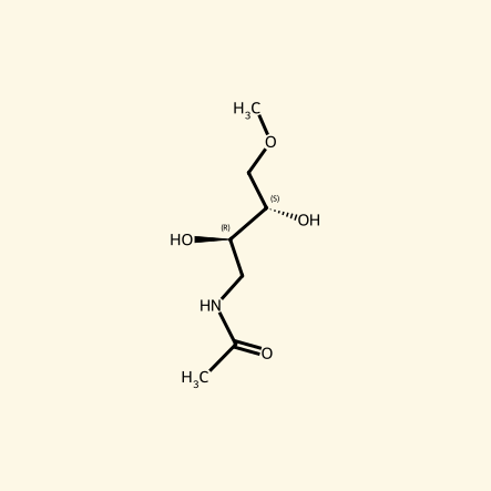 COC[C@H](O)[C@H](O)CNC(C)=O